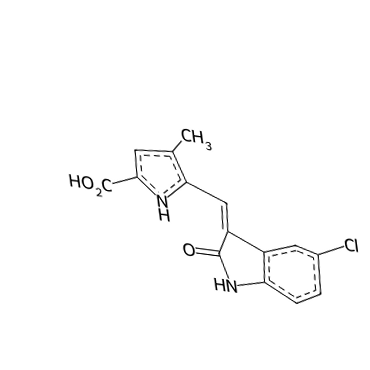 Cc1cc(C(=O)O)[nH]c1/C=C1\C(=O)Nc2ccc(Cl)cc21